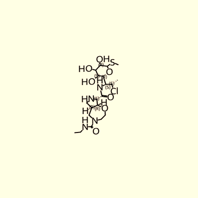 CCNC(=O)N1CCO[C@@H]2[C@H](CN[C@@H]2C(=O)N[C@@H]([C@H]2OC(SC)[C@H](O)C(O)[C@@H]2O)[C@H](C)Cl)C1